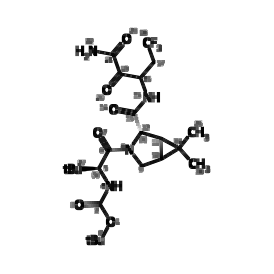 CC(C)(C)OC(=O)N[C@H](C(=O)N1CC2C([C@H]1C(=O)NC(CC(F)(F)F)C(=O)C(N)=O)C2(C)C)C(C)(C)C